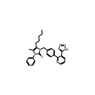 CCCCCc1c(C)n(-c2ccccc2)c(=O)n1Cc1ccc(-c2ncccc2-c2nnn[nH]2)cc1